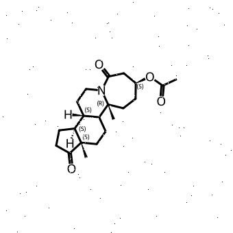 CC(=O)O[C@H]1CC[C@]2(C)C3CC[C@]4(C)C(=O)CC[C@H]4[C@@H]3CCN2C(=O)C1